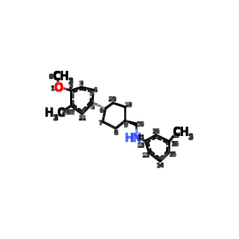 COc1ccc([C@H]2CC[C@H](CNc3cccc(C)c3)CC2)cc1C